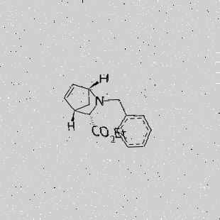 CCOC(=O)[C@@H]1[C@@H]2C=C[C@@H](C2)N1Cc1ccccc1